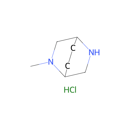 CN1CC2CCC1CN2.Cl